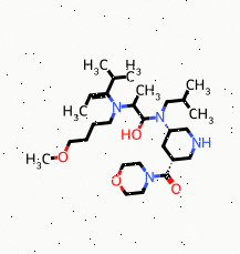 C/C=C(/C(C)C)N(CCCCOC)C(C)C(O)N(CC(C)C)[C@@H]1CNC[C@H](C(=O)N2CCOCC2)C1